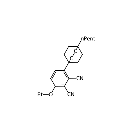 CCCCCC12CCC(c3ccc(OCC)c(C#N)c3C#N)(CC1)CC2